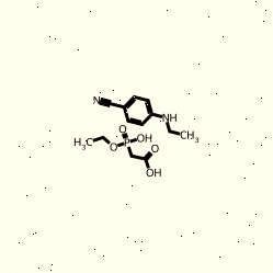 CCNc1ccc(C#N)cc1.CCOP(=O)(O)CC(=O)O